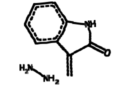 C=C1C(=O)Nc2ccccc21.NN